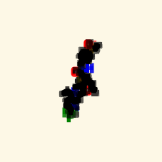 CCC(c1ccc(C(F)(F)F)nc1C)N1CCC2(CC1)OC(C)Cc1cc(C(=O)NCc3ccc([S+]([O-])CC)cc3)sc12